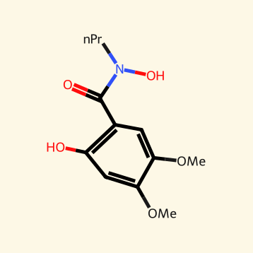 CCCN(O)C(=O)c1cc(OC)c(OC)cc1O